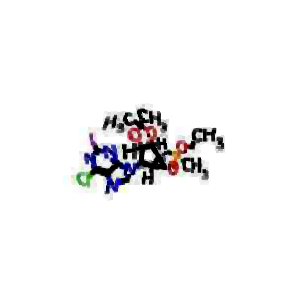 CCOP(C)(=O)C[C@]12C[C@@H]1[C@@H](n1cnc3c(Cl)nc(I)nc31)[C@@H]1OC(C)(C)O[C@@H]12